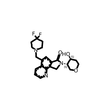 O=C1c2cc(CN3CCC(F)(F)CC3)c3cccnc3c2CN1[C@H]1COCC[C@@H]1O